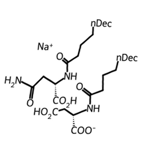 CCCCCCCCCCCCCC(=O)N[C@@H](CC(=O)O)C(=O)[O-].CCCCCCCCCCCCCC(=O)N[C@@H](CC(N)=O)C(=O)O.[Na+]